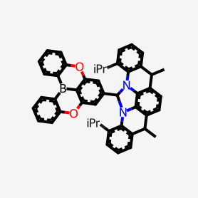 CC(C)c1cccc2c1N1c3c(ccc4c3N(c3c(C(C)C)cccc3C4C)C1c1cc3c4c(c1)Oc1ccccc1B4c1ccccc1O3)C2C